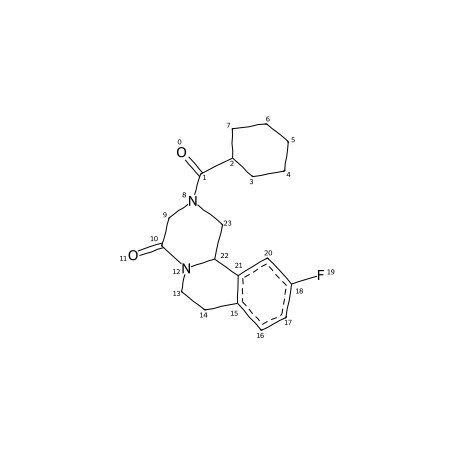 O=C(C1CCCCC1)N1CC(=O)N2CCc3ccc(F)cc3C2C1